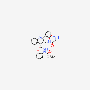 COC(=O)N(NC(=O)c1c(CN2CCNCC2=O)c(-c2ccccc2)nc2ccccc12)c1ccccc1